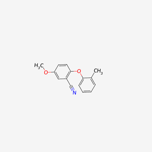 COc1ccc(Oc2ccccc2C)c(C#N)c1